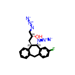 [N-]=[N+]=NC[C@H](O)C[C@@H]1c2ccccc2Cc2ccc(F)cc2[C@H]1N=[N+]=[N-]